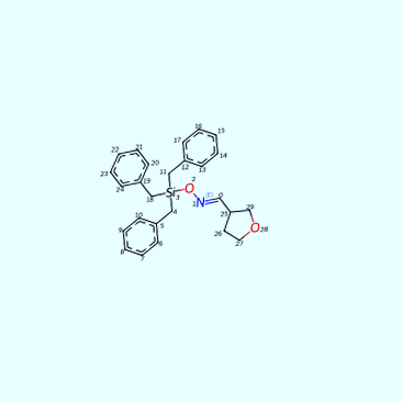 C(=N\O[Si](Cc1ccccc1)(Cc1ccccc1)Cc1ccccc1)/C1CCOC1